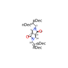 CCCCCCCCCCC(CCCCCCCCCC)CN1C=C2C(=O)N(CC(CCCCCCCCCC)CCCCCCCCCC)C=C2C1=O